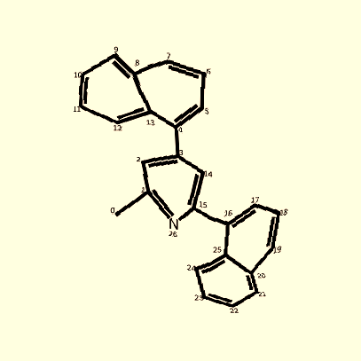 Cc1cc(-c2cccc3ccccc23)cc(-c2cccc3ccccc23)n1